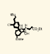 CCOC(=O)CCNC(=O)NC1(c2ccc(CCC(C)(C)C)c(Cl)c2)CCC(OC)CC1CO